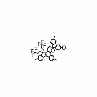 COc1ccc(C2(c3ccc(C)cc3)C=Cc3c4c(c5ccc(C)cc5c3O2)-c2ccc(C)cc2C4(CCC(F)(F)F)CCC(F)(F)F)cc1